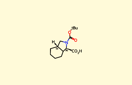 CC(C)(C)OC(=O)N1C[C@H]2CCCCC2[C@@H]1C(=O)O